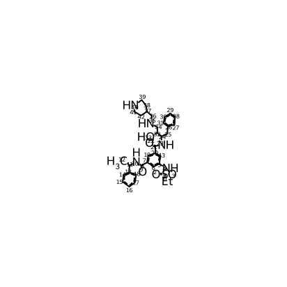 CCS(=O)(=O)Nc1cc(C(=O)NC(C)c2ccccc2)cc(C(=O)NC(Cc2ccccc2)C(O)CNCC2CCNCC2)c1